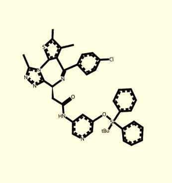 Cc1sc2c(c1C)C(c1ccc(Cl)cc1)=N[C@@H](CC(=O)Nc1cncc(O[Si](c3ccccc3)(c3ccccc3)C(C)(C)C)c1)c1nnc(C)n1-2